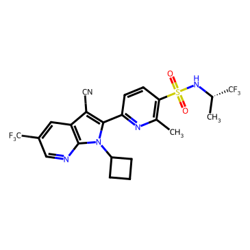 Cc1nc(-c2c(C#N)c3cc(C(F)(F)F)cnc3n2C2CCC2)ccc1S(=O)(=O)N[C@@H](C)C(F)(F)F